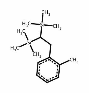 Cc1ccccc1CC([Si](C)(C)C)[Si](C)(C)C